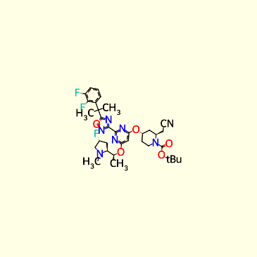 C[C@H](Oc1cc(O[C@H]2CCN(C(=O)OC(C)(C)C)[C@H](CC#N)C2)nc(-c2noc(C(C)(C)c3cccc(F)c3F)n2)n1)[C@@H]1C[C@@H](F)CN1C